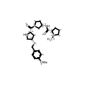 COc1ccc(CS[C@@H]2CN[C@H](C(=O)N3CC[C@H](NC(=O)[C@@H]4CCCN4C)C3)C2)cc1